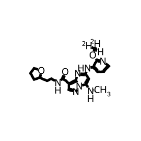 [2H]C([2H])([2H])Oc1ncccc1Nc1cc(NC)n2ncc(C(=O)NCCC3CCCO3)c2n1